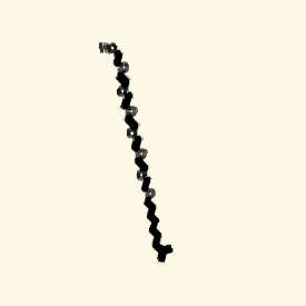 CC(C)CCCCCCCOCCOCCOCCOCCOCCOCCOCCO